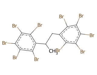 CC(Cc1c(Br)c(Br)c(Br)c(Br)c1Br)c1c(Br)c(Br)c(Br)c(Br)c1Br